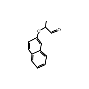 CC(C=O)Oc1ccc2ccccc2c1